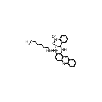 CCCCCCNNc1ccc2nc3ccccc3cc2c1NC(=O)c1ccccc1[N+](=O)[O-]